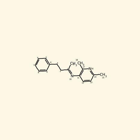 C/C(CCc1ccccc1)=N\c1ccc(C)nc1C